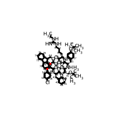 CCNC(=N)NCCCC[C@@H](NC(=O)[C@H](Cc1ccc(OC(C)(C)C)cc1)NC(=O)[C@H](COC(C)(C)C)NC(=O)[C@@H](Cc1cccnc1)NC(=O)[C@@H](Cc1ccc(Cl)cc1)NC(=O)OCC1c2ccccc2-c2ccccc21)C(=O)O